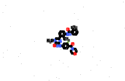 CCCCc1ccccc1C(=O)Nc1cccc(-c2cn(C)c(=O)c(Nc3ccc(C(=O)N4CCOCC4)c(F)c3)n2)c1C